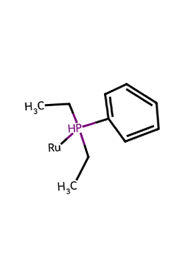 CC[PH]([Ru])(CC)c1ccccc1